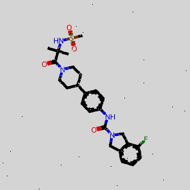 CC(C)(NS(C)(=O)=O)C(=O)N1CCC(c2ccc(NC(=O)N3Cc4cccc(F)c4C3)cc2)CC1